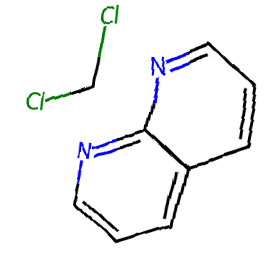 ClCCl.c1cnc2ncccc2c1